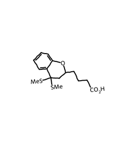 CSC1(SC)CC(CCCC(=O)O)Oc2ccccc21